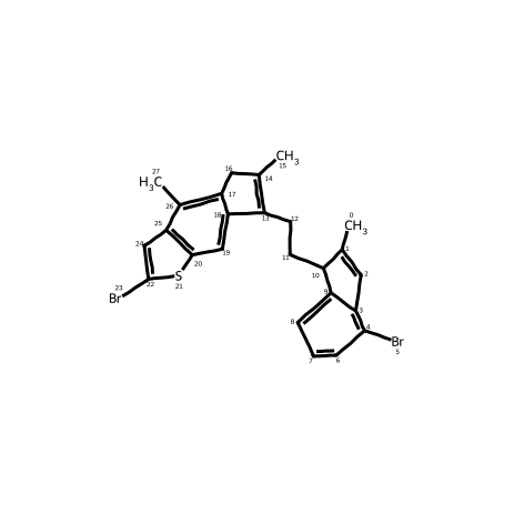 CC1=Cc2c(Br)cccc2C1CCC1=C(C)Cc2c1cc1sc(Br)cc1c2C